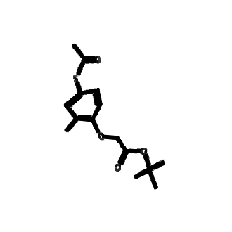 CC(=O)Sc1ccc(OCC(=O)OC(C)(C)C)c(C)c1